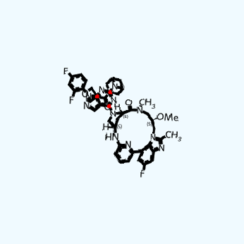 CO[C@H]1CN(C)C(=O)[C@@H]2C[C@@H](CN2c2nc(N3C4CC3CN(C(=O)C3COC3)C4)nc3c2cnn3-c2ccc(F)cc2F)Nc2cccc(n2)-c2cc(F)cc3nc(C)n(c23)C1